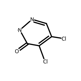 O=C1[N]N=CC(Cl)=C1Cl